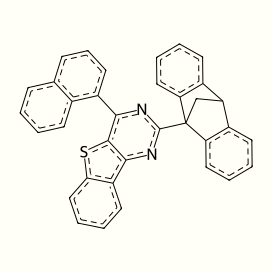 c1ccc2c(c1)C1CC2(c2nc(-c3cccc4ccccc34)c3sc4ccccc4c3n2)c2ccccc21